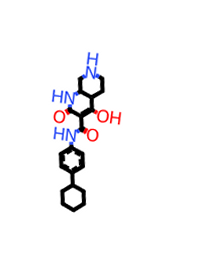 O=C(Nc1ccc(C2CCCCC2)cc1)C1=C(O)C2CCNCC2NC1=O